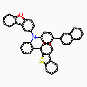 c1ccc(N(c2ccc(-c3ccc4ccccc4c3)cc2)c2ccc3oc4ccccc4c3c2)c(-c2cccc3c2sc2ccccc23)c1